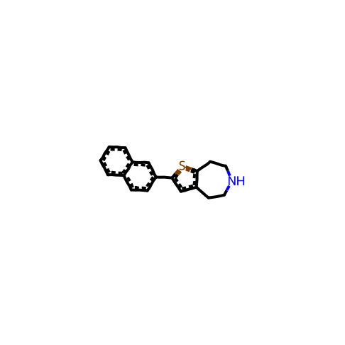 c1ccc2cc(-c3cc4c(s3)CCNCC4)ccc2c1